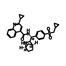 O=C(N[C@H](c1ccc(S(=O)(=O)CC2CC2)cc1)C1N[C@@H]2CC[C@H]1C2)c1cc(C2CC2)nc2ccccc12